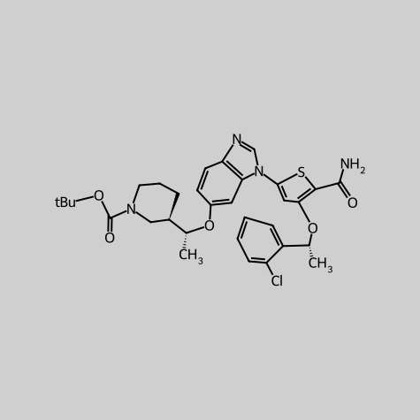 C[C@@H](Oc1cc(-n2cnc3ccc(O[C@H](C)[C@@H]4CCCN(C(=O)OC(C)(C)C)C4)cc32)sc1C(N)=O)c1ccccc1Cl